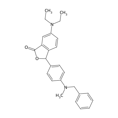 CCN(CC)c1ccc2c(c1)C(=O)OC2c1ccc(N(C)Cc2ccccc2)cc1